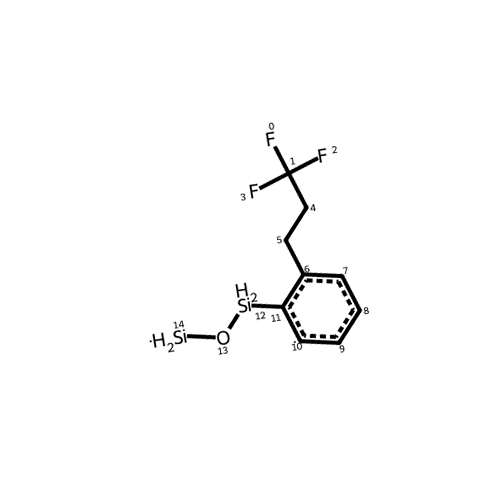 FC(F)(F)CCc1ccc[c]c1[SiH2]O[SiH2]